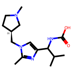 Cc1nc(C(NC(=O)O)C(C)C)cn1C[C@H]1CCN(C)C1